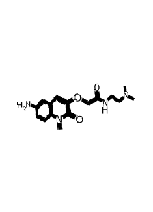 CN(C)CCNC(=O)COc1cc2cc(N)ccc2n(C)c1=O